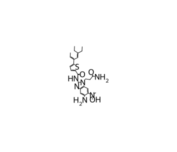 C/C=C(\C=C(CC)CC)c1ccc(C(=O)Nc2nc3cc(N)c(N(C)O)cc3n2CCC(N)=O)s1